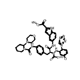 CC(C)(C)OC(=O)c1cc2cc(NC(=O)C(Cc3ccc(NC(=O)N4CCCCC4N4CCOCC4)cc3)N(Nc3cc(Cl)ccc3-n3cnnn3)C(=O)C=O)ccc2[nH]1